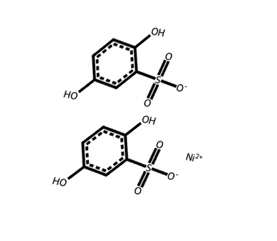 O=S(=O)([O-])c1cc(O)ccc1O.O=S(=O)([O-])c1cc(O)ccc1O.[Ni+2]